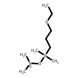 CCOCCC[Si](C)(C)O[SiH](C)C